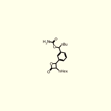 CCCCCCC1C(=O)OC1c1cccc(C(CCCC)OC(N)=O)c1